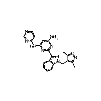 Cc1noc(C)c1Cn1nc(-c2nc(N)cc(Nc3ccncn3)n2)c2ccccc21